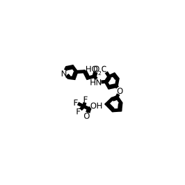 O=C(C=Cc1ccncc1)Nc1cc(Oc2ccccc2)ccc1C(=O)O.O=C(O)C(F)(F)F